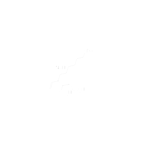 C=CC(CCCCCCCCCCCCCCCC)C(CC(=O)O)C(=O)O.[NaH]